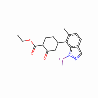 CCOC(=O)C1CCC(c2c(C)ccc3cnn(PI)c23)CC1=O